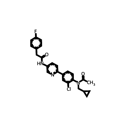 CC(=O)N(CC1CC1)c1ccc(-c2ccc(NC(=O)Cc3ccc(F)cc3)cn2)cc1Cl